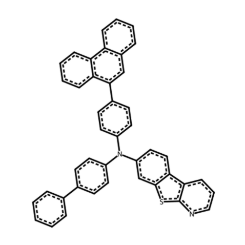 c1ccc(-c2ccc(N(c3ccc(-c4cc5ccccc5c5ccccc45)cc3)c3ccc4c(c3)sc3ncccc34)cc2)cc1